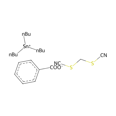 CCC[CH2][Sn+]([CH2]CCC)[CH2]CCC.N#CSCSC#N.O=C([O-])c1ccccc1